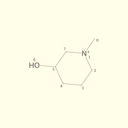 C[N+]1CCCC(O)C1